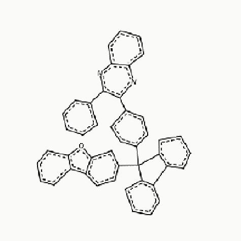 c1ccc(-c2nc3ccccc3nc2-c2ccc(C3(c4ccc5c(c4)oc4ccccc45)c4ccccc4-c4ccccc43)cc2)cc1